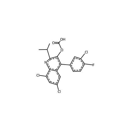 CC(C)c1nc2c(Cl)cc(Cl)cc2c(-c2ccc(F)c(Cl)c2)c1OC(=O)O